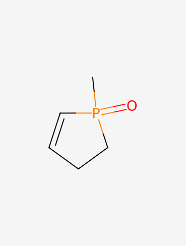 CP1(=O)C=CCC1